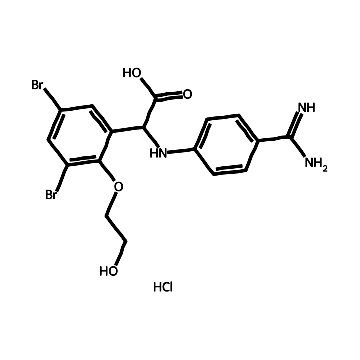 Cl.N=C(N)c1ccc(NC(C(=O)O)c2cc(Br)cc(Br)c2OCCO)cc1